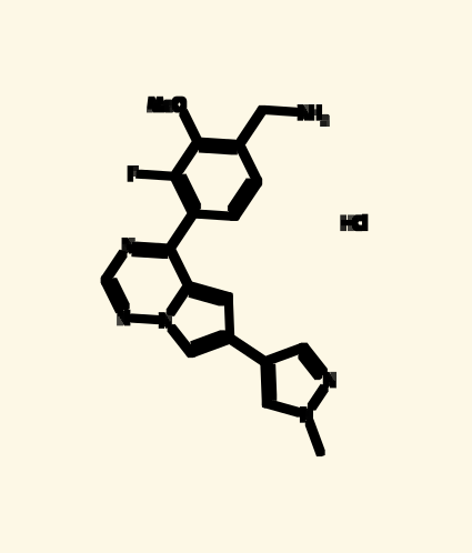 COc1c(CN)ccc(-c2ncnn3cc(-c4cnn(C)c4)cc23)c1F.Cl